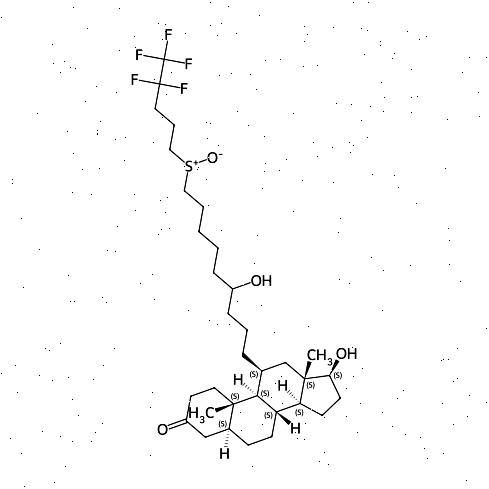 C[C@]12CCC(=O)C[C@@H]1CC[C@@H]1[C@@H]2[C@@H](CCCC(O)CCCCC[S+]([O-])CCCC(F)(F)C(F)(F)F)C[C@]2(C)[C@@H](O)CC[C@@H]12